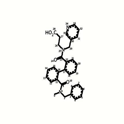 CN(Cc1ccccc1)C(=O)c1ccccc1-c1ccccc1C(=O)N(CCC(=O)O)Cc1cccnc1